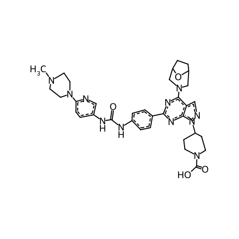 CN1CCN(c2ccc(NC(=O)Nc3ccc(-c4nc(N5CC6CCC(C5)O6)c5cnn(C6CCN(C(=O)O)CC6)c5n4)cc3)cn2)CC1